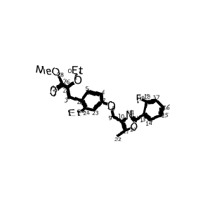 CCOC(Cc1ccc(OCc2nc(-c3ccccc3F)oc2C)cc1CC)C(=O)OC